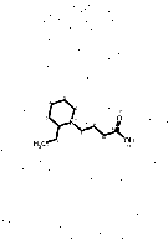 CCC1CCCCN1CCCC(=O)O